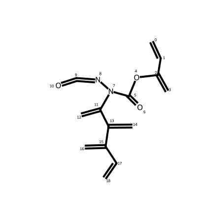 C=CC(=C)OC(=O)N(N=C=O)C(=C)C(=C)C(=C)C=C